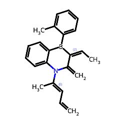 C=C/C=C(\C)N1C(=C)/C(=C\C)B(c2ccccc2C)c2ccccc21